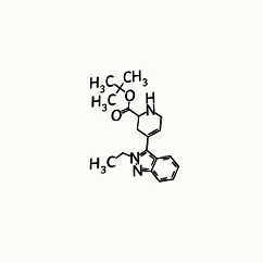 CCn1nc2ccccc2c1C1=CCNC(C(=O)OC(C)(C)C)C1